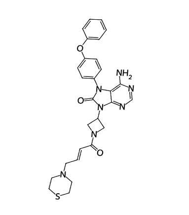 Nc1ncnc2c1n(-c1ccc(Oc3ccccc3)cc1)c(=O)n2C1CN(C(=O)C=CCN2CCSCC2)C1